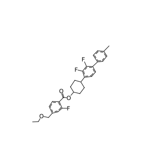 CCOCc1ccc(C(=O)OC2CCC(c3ccc(-c4ccc(C)cc4)c(F)c3F)CC2)c(F)c1